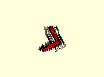 NC(N)=O.NC(N)=O.NC(N)=O.NC(N)=O.NC(N)=O.NC(N)=O.NC(N)=O.NC(N)=O.NC(N)=O.NC(N)=O.NC(N)=O.NC(N)=O.O=P(O)(O)F.O=P(O)(O)F.O=P(O)(O)F.O=P(O)(O)F.O=P(O)(O)F.O=P(O)(O)F